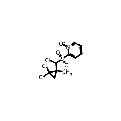 CC1(C(Cl)S(=O)(=O)c2cccc[n+]2[O-])CC1(Cl)Cl